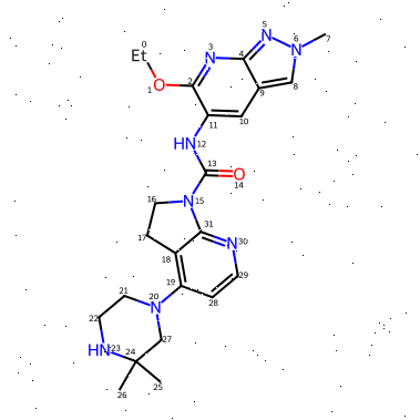 CCOc1nc2nn(C)cc2cc1NC(=O)N1CCc2c(N3CCNC(C)(C)C3)ccnc21